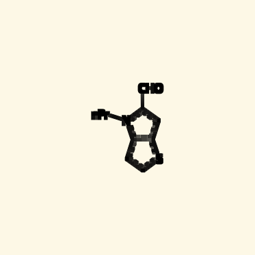 CCCn1c(C=O)cc2sccc21